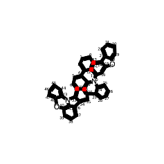 c1ccc(-c2ccccc2N(c2ccc3c(c2)oc2ccccc23)c2ccccc2-c2ccc3c(c2)c2cccc4c2n3-c2ccccc2O4)cc1